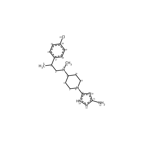 CC(CN(C)C1CCN(c2nc(N)n[nH]2)CC1)c1ccc(Cl)cc1